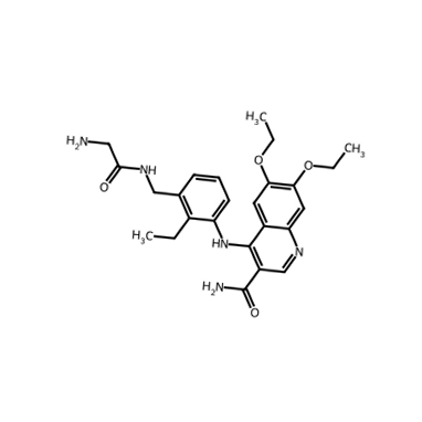 CCOc1cc2ncc(C(N)=O)c(Nc3cccc(CNC(=O)CN)c3CC)c2cc1OCC